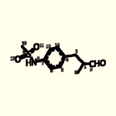 CC(C=O)Cc1ccc(NS(C)(=O)=O)cc1